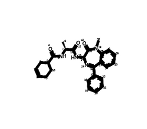 C[C@H](NC(=O)C1CC=CCC1)C(=O)NC1N=C(c2ccccc2)c2ccccc2N(C)C1=O